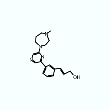 CN1CCCN(c2cncc(-c3cccc(C=CCO)c3)n2)CC1